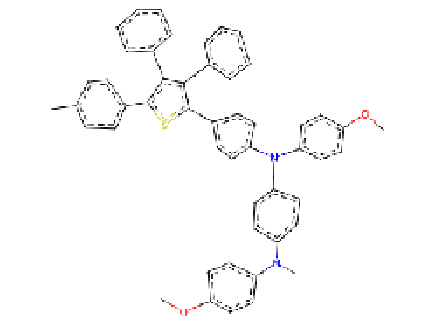 COc1ccc(N(C)c2ccc(N(c3ccc(OC)cc3)c3ccc(-c4sc(-c5ccc(C)cc5)c(-c5ccccc5)c4-c4ccccc4)cc3)cc2)cc1